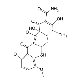 COc1ccc(O)c2c1[SH]C1CC3C(N)C(O)=C(C(N)=O)C(=O)C3(O)C(O)=C1C2=O